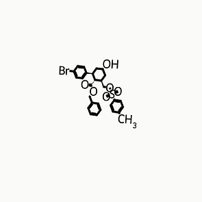 Cc1ccc(S(=O)(=O)OC[C@@H]2C[C@H](O)C[C@H](c3ccc(Br)cc3)[C@H]2C(=O)OCc2ccccc2)cc1